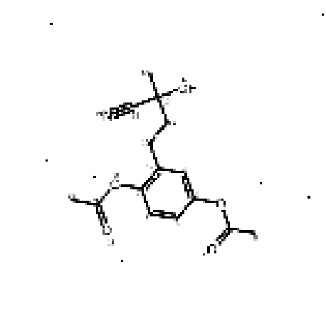 CC(=O)Oc1ccc(OC(C)=O)c(CCC(C)(O)C#N)c1